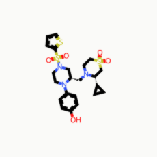 O=S1(=O)CCN(C[C@H]2CN(S(=O)(=O)c3cccs3)CCN2c2ccc(O)cc2)[C@@H](C2CC2)C1